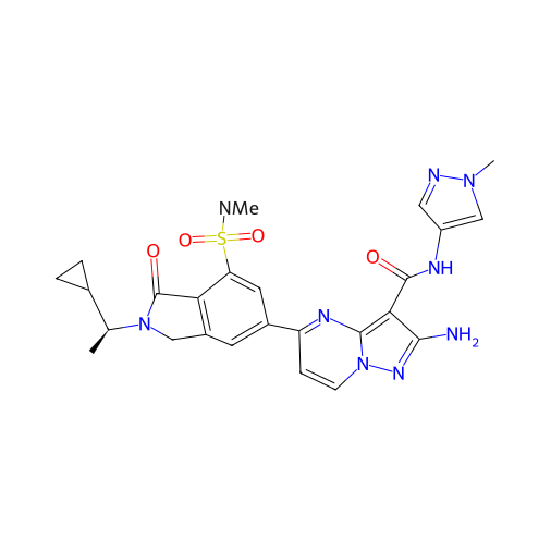 CNS(=O)(=O)c1cc(-c2ccn3nc(N)c(C(=O)Nc4cnn(C)c4)c3n2)cc2c1C(=O)N([C@@H](C)C1CC1)C2